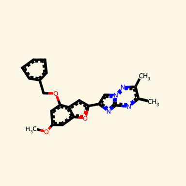 COc1cc(OCc2ccccc2)c2cc(-c3cn4nc(C)c(C)nc4n3)oc2c1